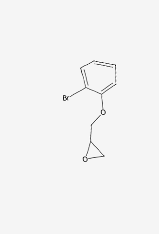 Brc1ccccc1OCC1CO1